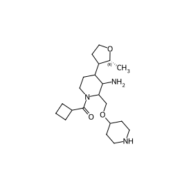 C[C@H]1OCCC1C1CCN(C(=O)C2CCC2)C(COC2CCNCC2)C1N